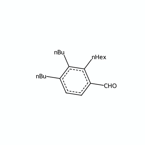 CCCCCCc1c(C=O)ccc(CCCC)c1CCCC